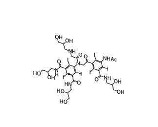 CC(=O)Nc1c(I)c(C(=O)CN(C(=O)CNCC(O)CO)c2c(I)c(C(=O)NCC(O)CO)c(I)c(C(=O)NCC(O)CO)c2I)c(I)c(C(=O)NCC(O)CO)c1I